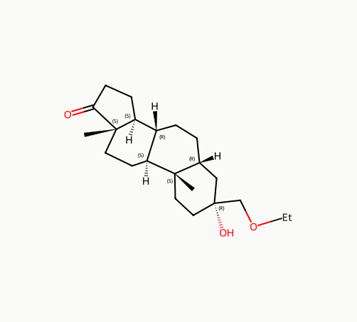 CCOC[C@@]1(O)CC[C@@]2(C)[C@H](CC[C@@H]3[C@@H]2CC[C@]2(C)C(=O)CC[C@@H]32)C1